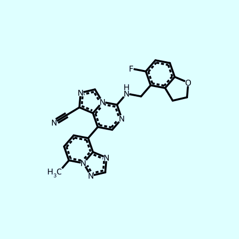 Cc1ccc(-c2cnc(NCc3c(F)ccc4c3CCO4)n3cnc(C#N)c23)c2ncnn12